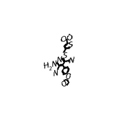 COC(=O)c1cc(CSc2nc(N)c(C#N)c(-c3ccc(OC4CCOC4)cc3)c2C#N)cs1